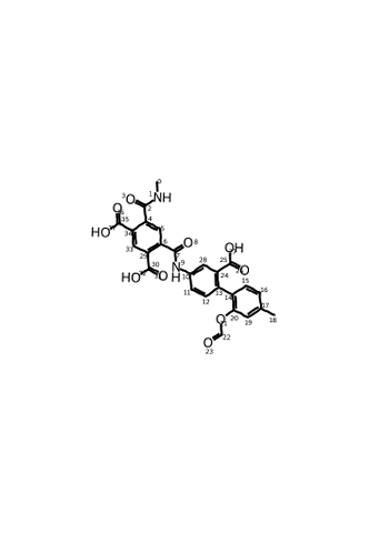 CNC(=O)c1cc(C(=O)Nc2ccc(-c3ccc(C)cc3OC=O)c(C(=O)O)c2)c(C(=O)O)cc1C(=O)O